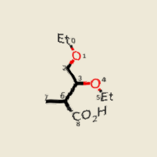 CCOCC(OCC)C(C)C(=O)O